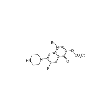 CCOC(=O)Oc1cn(CC)c2cc(N3CCNCC3)c(F)cc2c1=O